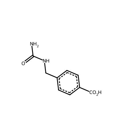 NC(=O)NCc1ccc(C(=O)O)cc1